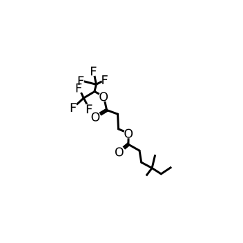 CCC(C)(C)CCC(=O)OCCC(=O)OC(C(F)(F)F)C(F)(F)F